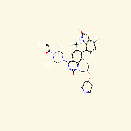 C=CC(=O)N1[C@H](C)CN(c2nc(=O)n3c4c(c(-c5c(F)cc(F)c6sc(=O)[nH]c56)c(C(F)(F)F)cc24)SCC(Oc2ccncc2)C3)C[C@@H]1C